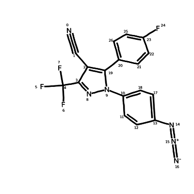 N#Cc1c(C(F)(F)F)nn(-c2ccc(N=[N+]=[N-])cc2)c1-c1ccc(F)cc1